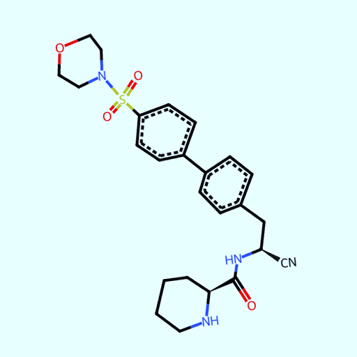 N#C[C@H](Cc1ccc(-c2ccc(S(=O)(=O)N3CCOCC3)cc2)cc1)NC(=O)[C@@H]1CCCCN1